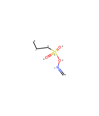 C=NOS(=O)(=O)CCC